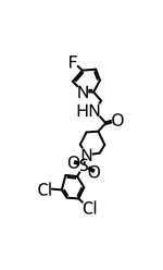 O=C(NCc1ccc(F)cn1)C1CCN(S(=O)(=O)c2cc(Cl)cc(Cl)c2)CC1